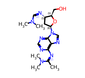 C/C(=N/c1ncnc2c1ncn2[C@H]1C[C@H](/N=C\N(C)C)[C@@H](CO)O1)N(C)C